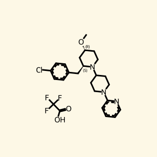 CO[C@@H]1CCN(C2CCN(c3ccccn3)CC2)[C@@H](Cc2ccc(Cl)cc2)C1.O=C(O)C(F)(F)F